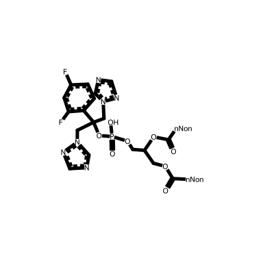 CCCCCCCCCC(=O)OCC(COP(=O)(O)OC(Cn1cncn1)(Cn1cncn1)c1ccc(F)cc1F)OC(=O)CCCCCCCCC